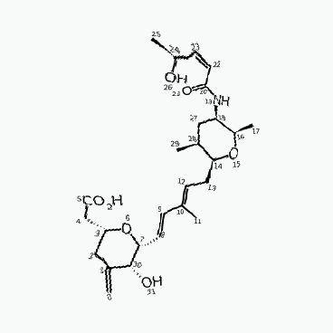 C=C1C[C@H](CC(=O)O)O[C@H](/C=C/C(C)=C/C[C@@H]2O[C@H](C)[C@H](NC(=O)/C=C\[C@H](C)O)C[C@@H]2C)[C@@H]1O